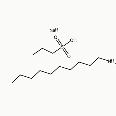 CCCCCCCCCCN.CCCS(=O)(=O)O.[NaH]